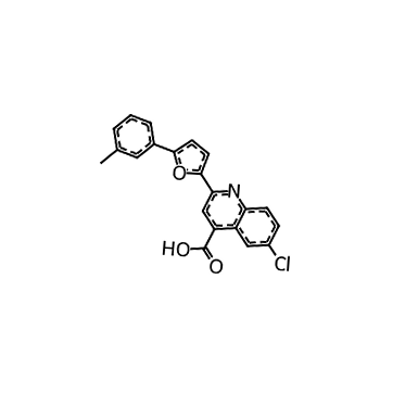 Cc1cccc(-c2ccc(-c3cc(C(=O)O)c4cc(Cl)ccc4n3)o2)c1